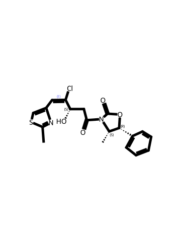 Cc1nc(/C=C(/Cl)[C@@H](O)CC(=O)N2C(=O)O[C@H](c3ccccc3)[C@@H]2C)cs1